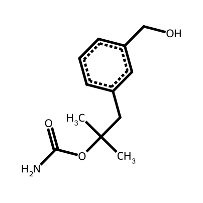 CC(C)(Cc1cccc(CO)c1)OC(N)=O